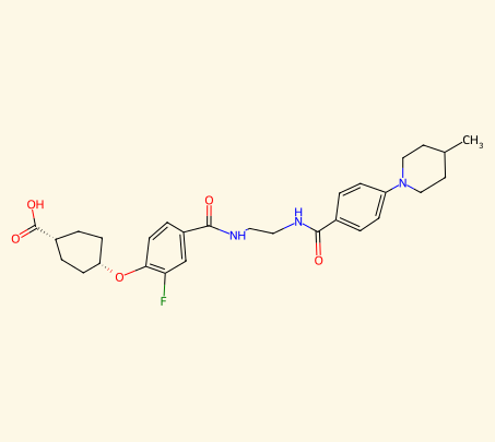 CC1CCN(c2ccc(C(=O)NCCNC(=O)c3ccc(O[C@H]4CC[C@@H](C(=O)O)CC4)c(F)c3)cc2)CC1